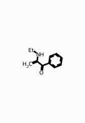 C=C(NCC)C(=O)c1ccccc1